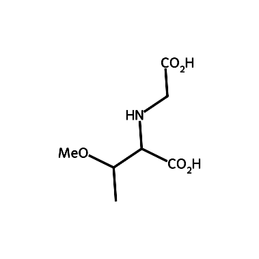 COC(C)C(NCC(=O)O)C(=O)O